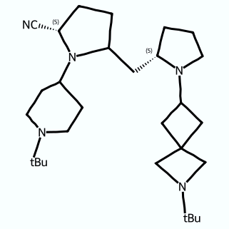 CC(C)(C)N1CCC(N2C(C[C@@H]3CCCN3C3CC4(C3)CN(C(C)(C)C)C4)CC[C@H]2C#N)CC1